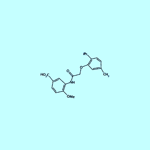 COc1ccc(C(=O)O)cc1NC(=O)COc1cc(C)ccc1C(C)C